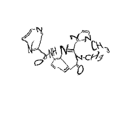 Cn1ccnc1-c1nc2c(NC(=O)c3cnccn3)cccc2c(=O)n1C